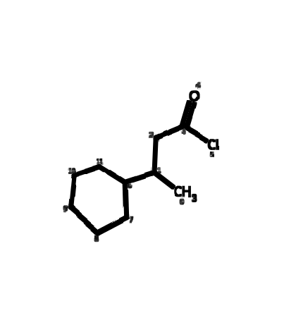 CC(CC(=O)Cl)C1CCCCC1